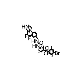 CC(C)(c1ccc(Br)cc1)c1csc(NC(=O)NCc2ccc(N3CCNCC3)c(C(F)(F)F)c2)n1